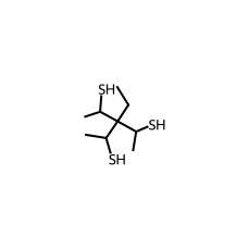 CCC(C(C)S)(C(C)S)C(C)S